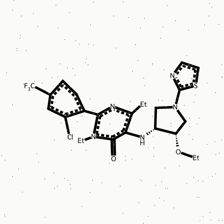 CCO[C@H]1CN(c2nccs2)C[C@H]1Nc1c(CC)nc(-c2ccc(C(F)(F)F)cc2Cl)n(CC)c1=O